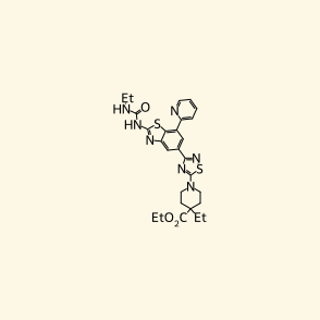 CCNC(=O)Nc1nc2cc(-c3nsc(N4CCC(CC)(C(=O)OCC)CC4)n3)cc(-c3ccccn3)c2s1